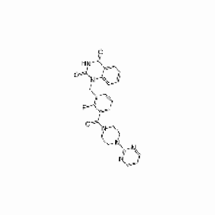 O=C(c1cccc(Cn2c(=O)[nH]c(=O)c3ccccc32)c1F)N1CCN(c2ncccn2)CC1